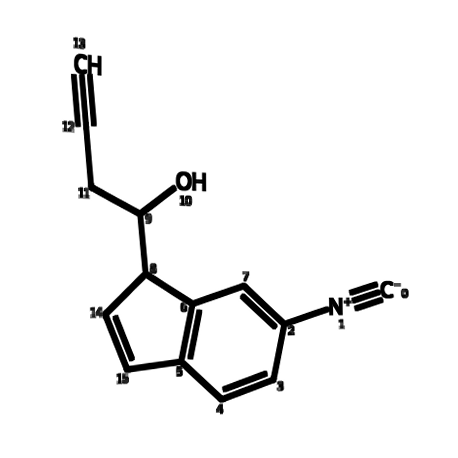 [C-]#[N+]c1ccc2c(c1)C(C(O)CC#C)C=C2